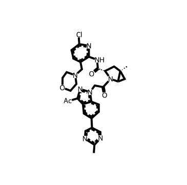 CC(=O)c1nn(CC(=O)N2C3C[C@]3(C)C[C@H]2C(=O)Nc2nc(Cl)ccc2CN2CCOCC2)c2ccc(-c3cnc(C)nc3)cc12